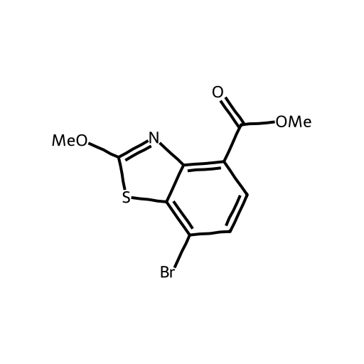 COC(=O)c1ccc(Br)c2sc(OC)nc12